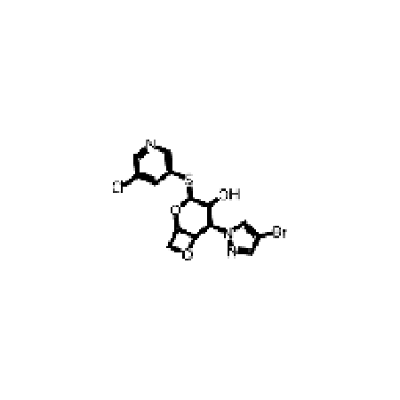 OC1C(Sc2cncc(Cl)c2)OC2COC2C1n1cc(Br)cn1